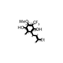 CC/C(C)=C/Cc1c(C)c(O)c(OC)c(C(F)(F)F)c1O